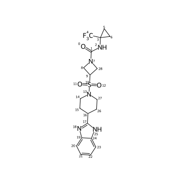 O=C(NC1(C(F)(F)F)CC1)N1CC(S(=O)(=O)N2CCC(c3nc4ccccc4[nH]3)CC2)C1